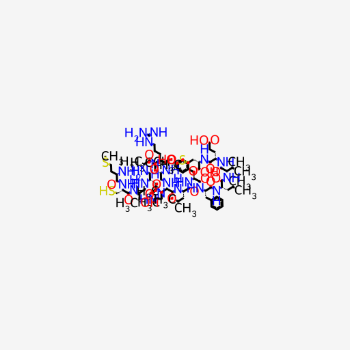 CC[C@H](C)[C@H](NC(=O)[C@H](CC(C)C)NC(=O)[C@H](CCCNC(=N)N)NC(=O)[C@H](C)NC(=O)[C@H](Cc1c[nH]cn1)NC(=O)[C@@H](NC(=O)[C@H](CS)NC(=O)[C@@H](N)CCSC)[C@@H](C)O)C(=O)N[C@@H](CC(C)C)C(=O)N[C@@H](Cc1ccc(O)cc1)C(=O)N[C@@H](Cc1ccccc1)C(=O)N[C@@H](CC(C)C)C(=O)N[C@H](C(=O)N[C@@H](CCC(=O)O)C(=O)N[C@@H](CCSC)C(=O)O)C(C)C